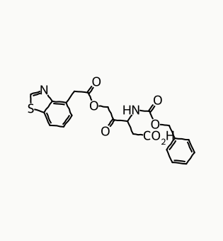 O=C(O)CC(NC(=O)OCc1ccccc1)C(=O)COC(=O)Cc1cccc2scnc12